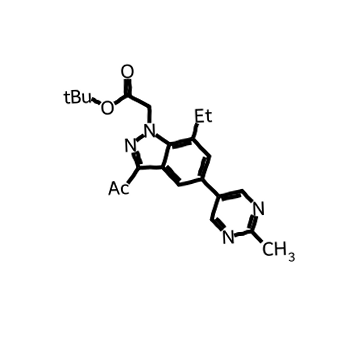 CCc1cc(-c2cnc(C)nc2)cc2c(C(C)=O)nn(CC(=O)OC(C)(C)C)c12